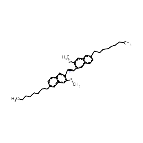 CCCCCCCCc1ccc2cc(/C=C/c3cc4ccc(CCCCCCCC)cc4cc3SC)c(SC)cc2c1